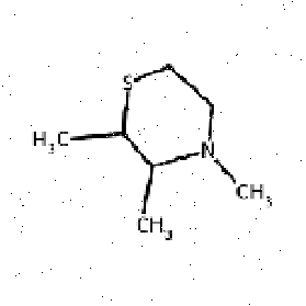 CC1SCCN(C)C1C